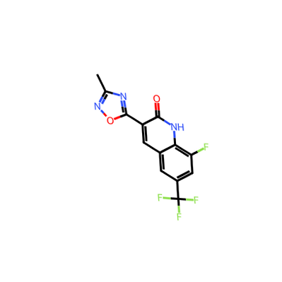 Cc1noc(-c2cc3cc(C(F)(F)F)cc(F)c3[nH]c2=O)n1